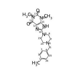 Cc1ccc(CN2CCN(c3nc4c(=O)n(C)c(=O)n(C)c4[nH]3)CC2)cc1